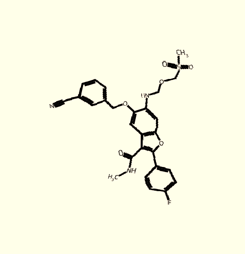 CNC(=O)c1c(-c2ccc(F)cc2)oc2cc(NCOCS(C)(=O)=O)c(OCc3cccc(C#N)c3)cc12